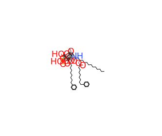 CCCCCCCCCCCC(CC(=O)N[C@H]1[C@H](OC)O[C@H](CO)[C@@H](OS(=O)(=O)O)[C@@H]1OC(=O)CCCCCCCCc1ccccc1)OC(=O)CCCCCCCCc1ccccc1